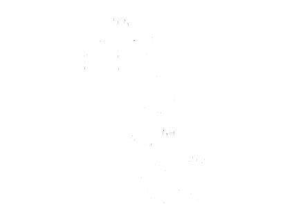 NC1(c2ccccc2)CC1c1ccc(NC(=O)c2ccc3ccccc3c2C=O)cc1